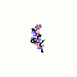 C=CCNC(=O)C(=O)[C@H](CC(F)F)NC(=O)[C@@H]1[C@H]2CCC[C@H]2CN1C(=O)[C@@H](NC(=O)N[C@H](CN(C)S(=O)(=O)N(C)C)C(C)(C)C)C(C)(C)C